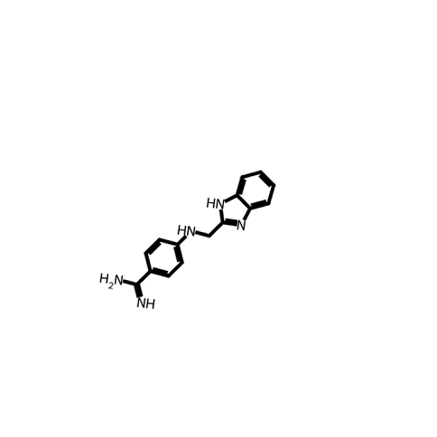 N=C(N)c1ccc(NCc2nc3ccccc3[nH]2)cc1